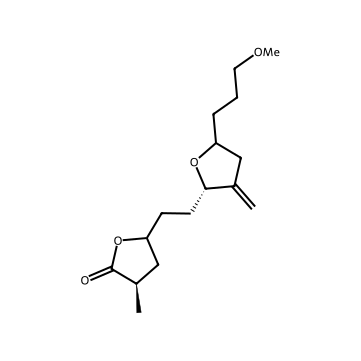 C=C1CC(CCCOC)O[C@H]1CCC1C[C@@H](C)C(=O)O1